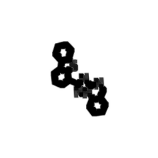 c1ccc2c(c1)cnc1nc(-c3cccc4c3sc3ccccc34)nn12